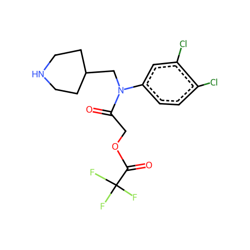 O=C(COC(=O)C(F)(F)F)N(CC1CCNCC1)c1ccc(Cl)c(Cl)c1